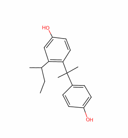 CCC(C)c1cc(O)ccc1C(C)(C)c1ccc(O)cc1